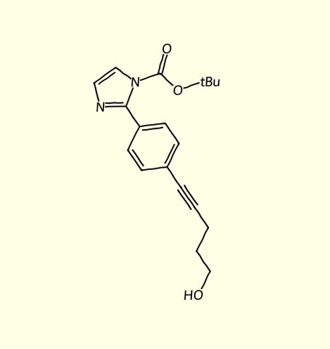 CC(C)(C)OC(=O)n1ccnc1-c1ccc(C#CCCCO)cc1